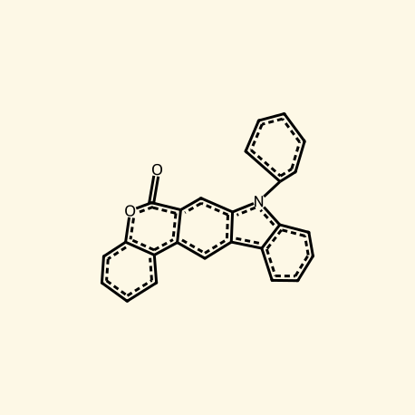 O=c1oc2ccccc2c2cc3c4ccccc4n(-c4ccccc4)c3cc12